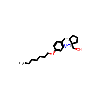 CCCCCCCOc1ccc(C[C@@H]2CCC[C@]2(N)CO)cc1